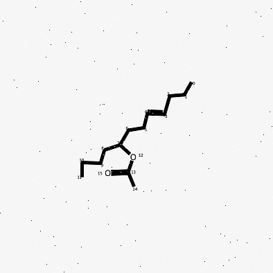 CCCC=CCCC(CCCC)OC(C)=O